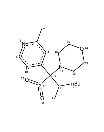 CCCCC(C)C(c1cc(C)ncn1)(N1CCOCC1)[SH](=O)=O